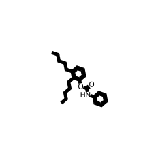 CCCCCc1cccc(OC(=O)Nc2ccccc2)c1CCCCC